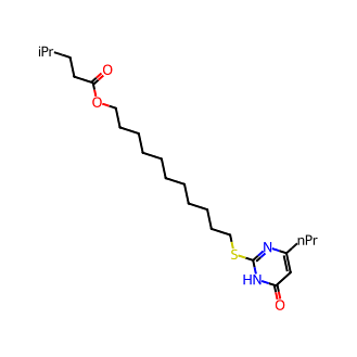 CCCc1cc(=O)[nH]c(SCCCCCCCCCCCOC(=O)CCC(C)C)n1